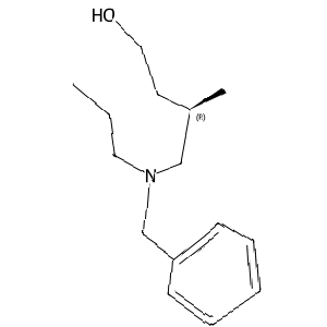 CCCN(Cc1ccccc1)C[C@H](C)CCO